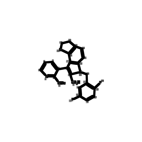 COc1ncccc1-c1c(C(=O)O)n(Cc2cc(F)ccc2F)c2ccc3c(c12)OCC3